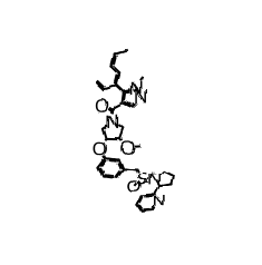 C=C/C(=C\C=C/C)c1c(C(=O)N2CC(OC)C(Oc3cccc(C[S+]([O-])N4CCCC4c4ccccn4)c3)C2)cnn1C